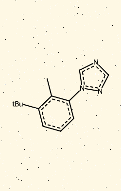 Cc1c(-n2cncn2)cccc1C(C)(C)C